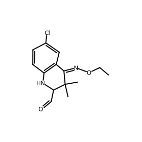 CCO/N=C1/c2cc(Cl)ccc2NC(C=O)C1(C)C